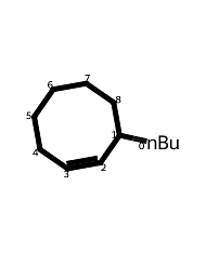 C[CH]CCC1/C=C\CCCCC1